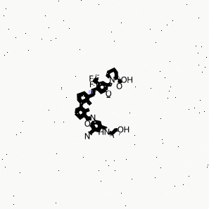 COc1cc(/C=C/c2cccc(-c3cccc(-c4nc5cc(CN[C@@H](C)CO)cc(C#N)c5o4)c3C)c2C)c(C(F)(F)F)cc1CN1CCCC[C@H]1C(=O)O